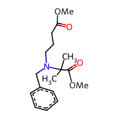 COC(=O)CCCN(Cc1ccccc1)C(C)(C)C(=O)OC